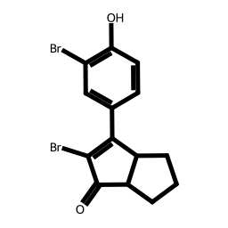 O=C1C(Br)=C(c2ccc(O)c(Br)c2)C2CCCC12